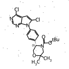 CC(C)(C)OC(=O)N1CC(C)(C)OC[C@@H]1c1ccc(-n2c(Cl)cc3c(Cl)ncnc32)cc1